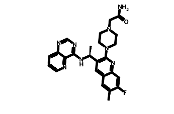 Cc1cc2cc([C@H](C)Nc3ncnc4cccnc34)c(N3CCN(CC(N)=O)CC3)nc2cc1F